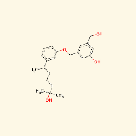 CC(CCCC(C)(C)O)c1cccc(OCc2cc(O)cc(CO)c2)c1